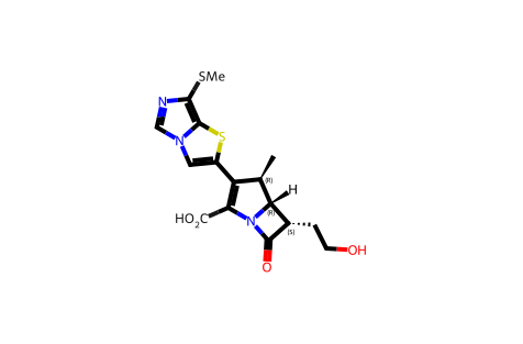 CSc1ncn2cc(C3=C(C(=O)O)N4C(=O)[C@@H](CCO)[C@H]4[C@@H]3C)sc12